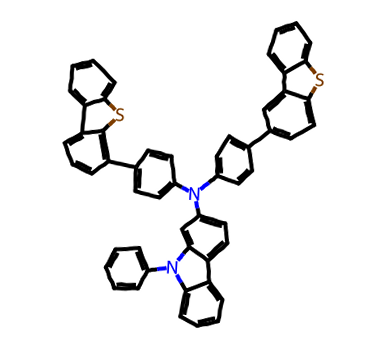 c1ccc(-n2c3ccccc3c3ccc(N(c4ccc(-c5ccc6sc7ccccc7c6c5)cc4)c4ccc(-c5cccc6c5sc5ccccc56)cc4)cc32)cc1